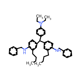 CCCCc1cc(C(c2ccc(N(CC)CC)cc2)c2ccc(NCc3ccccc3)c(CCCC)c2)ccc1NCc1ccccc1